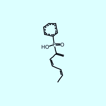 C=C(/C=C\C=C/C)P(=O)(O)c1ccccc1